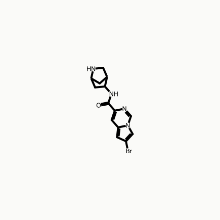 O=C(NC1CC2CC1CN2)c1cc2cc(Br)cn2cn1